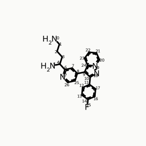 NCCCC(N)c1cc(-c2c(-c3ccc(F)cc3)nn3ccccc23)ccn1